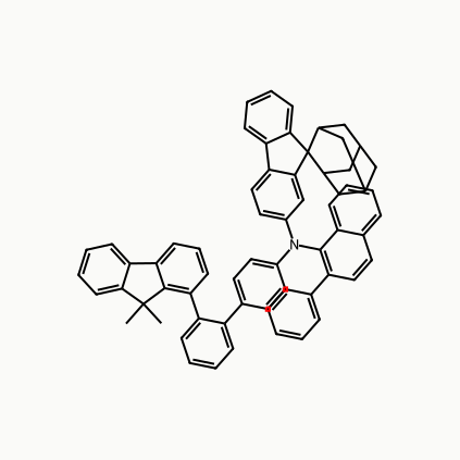 CC1(C)c2ccccc2-c2cccc(-c3ccccc3-c3ccc(N(c4ccc5c(c4)C4(c6ccccc6-5)C5CC6CC(C5)CC4C6)c4c(-c5ccccc5)ccc5ccccc45)cc3)c21